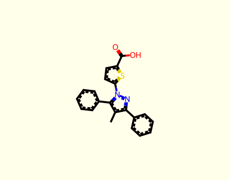 Cc1c(-c2ccccc2)nn(-c2ccc(C(=O)O)s2)c1-c1ccccc1